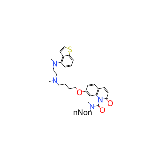 CCCCCCCCCN(C)C(=O)n1c(=O)ccc2ccc(OCCCCN(C)CCN(C)c3cccc4sccc34)cc21